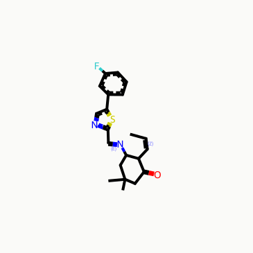 C/C=C\C1C(=O)CC(C)(C)CC1/N=C/c1ncc(-c2cccc(F)c2)s1